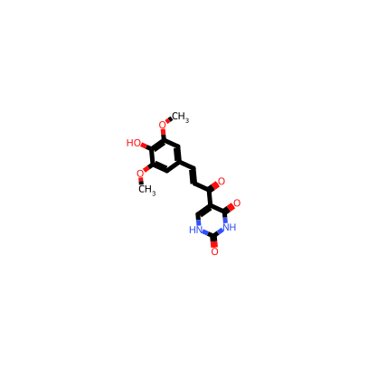 COc1cc(/C=C/C(=O)c2c[nH]c(=O)[nH]c2=O)cc(OC)c1O